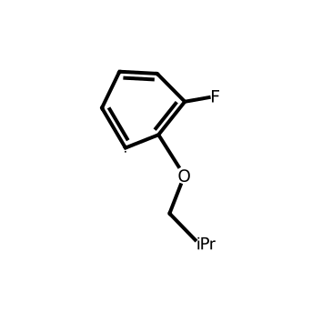 CC(C)COc1[c]cccc1F